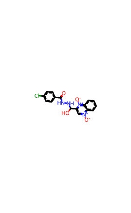 O=C(NNC(O)c1c[n+]([O-])c2ccccc2[n+]1[O-])c1ccc(Cl)cc1